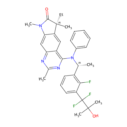 CC[C@@]1(C)C(=O)N(C)c2cc3nc(C)nc(N(c4ccccc4)[C@H](C)c4cccc(C(F)(F)C(C)(C)O)c4F)c3cc21